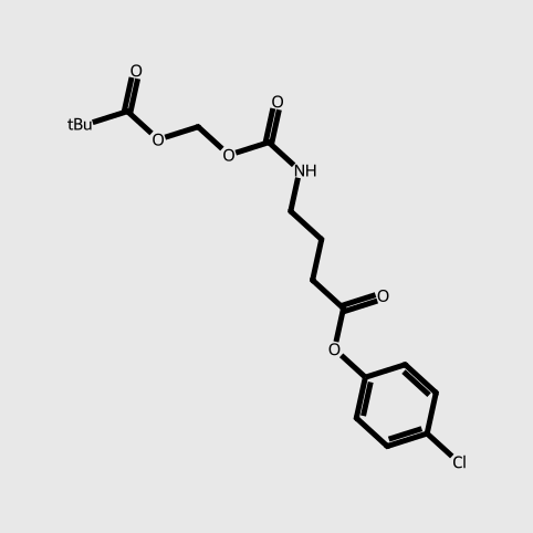 CC(C)(C)C(=O)OCOC(=O)NCCCC(=O)Oc1ccc(Cl)cc1